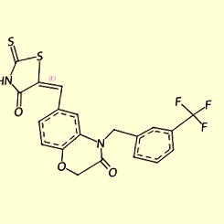 O=C1NC(=S)S/C1=C/c1ccc2c(c1)N(Cc1cccc(C(F)(F)F)c1)C(=O)CO2